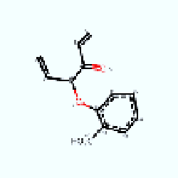 C=CC(=O)C(C=C)Oc1ccccc1C(=O)O